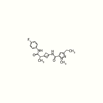 CCc1cc(C(=O)NC23CC(C(C)C(=O)Nc4ccc(F)cc4)(C2)C3)n(C)n1